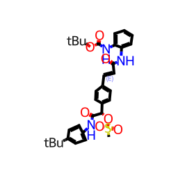 CC(C)(C)OC(=O)Nc1ccccc1NC(=O)/C=C/c1ccc(C(OS(C)(=O)=O)C(=O)Nc2ccc(C(C)(C)C)cc2)cc1